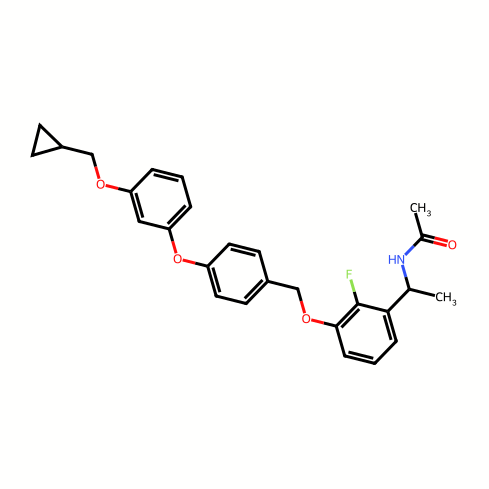 CC(=O)NC(C)c1cccc(OCc2ccc(Oc3cccc(OCC4CC4)c3)cc2)c1F